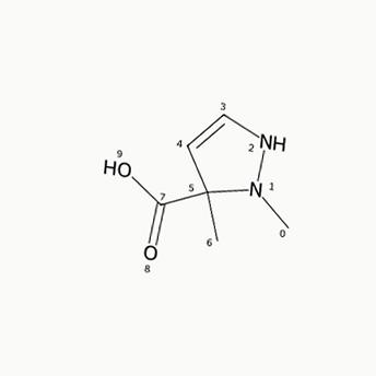 CN1NC=CC1(C)C(=O)O